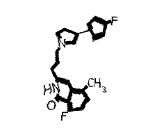 Cc1ccc(F)c2c(=O)[nH]c(CCCN3CC[C@@H](c4ccc(F)cc4)C3)cc12